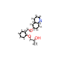 CCC(O)COc1ccccc1COc1ccc2ncccc2c1